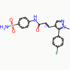 Cn1ncc(/C=C/C(=O)Nc2ccc(S(N)(=O)=O)cc2)c1-c1ccc(F)cc1